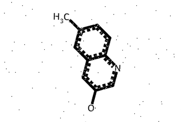 Cc1ccc2ncc([O])cc2c1